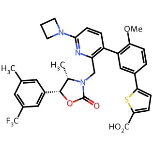 COc1ccc(-c2ccc(C(=O)O)s2)cc1-c1ccc(N2CCC2)nc1CN1C(=O)O[C@H](c2cc(C)cc(C(F)(F)F)c2)[C@@H]1C